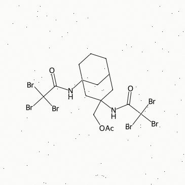 CC(=O)OCC1(NC(=O)C(Br)(Br)Br)CC2CCCC(NC(=O)C(Br)(Br)Br)(C2)C1